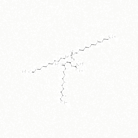 CCCCCCCCCCCCO[SiH](OCCCCCCCCCCCC)OC(CC(C)C)CC(S)CCCCCCCCCCC